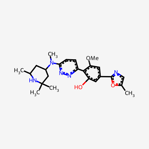 COc1cc(-c2ncc(C)o2)cc(O)c1-c1ccc(N(C)C2CC(C)NC(C)(C)C2)nn1